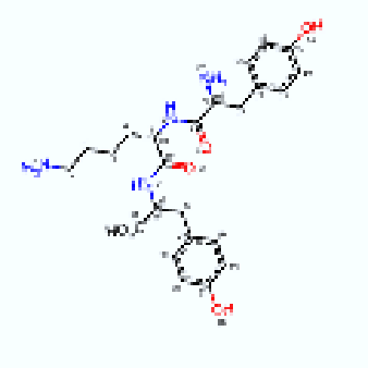 NCCCC[C@H](NC(=O)[C@@H](N)Cc1ccc(O)cc1)C(=O)N[C@@H](Cc1ccc(O)cc1)C(=O)O